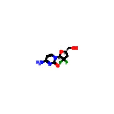 Nc1ccn([C@@H]2O[C@H](CO)CC2(F)F)c(=O)n1